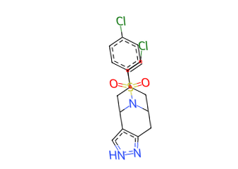 O=S(=O)(c1ccc(Cl)cc1)N1C2Cc3n[nH]cc3C1CC(/C=C/Cl)C2